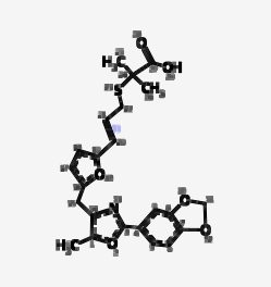 Cc1oc(-c2ccc3c(c2)OCO3)nc1Cc1ccc(/C=C/CSC(C)(C)C(=O)O)o1